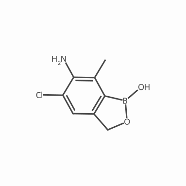 Cc1c(N)c(Cl)cc2c1B(O)OC2